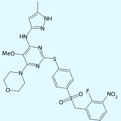 COc1c(Nc2cc(C)[nH]n2)nc(Sc2ccc(S(=O)(=O)Cc3cccc([N+](=O)[O-])c3F)cc2)nc1N1CCOCC1